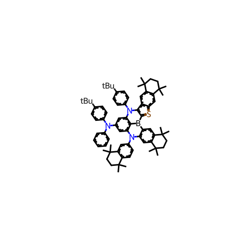 CC(C)(C)c1ccc(N(c2ccccc2)c2cc3c4c(c2)N(c2ccc(C(C)(C)C)cc2)c2c(sc5cc6c(cc25)C(C)(C)CCC6(C)C)B4c2cc4c(cc2N3c2ccc3c(c2)C(C)(C)CCC3(C)C)C(C)(C)CCC4(C)C)cc1